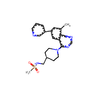 Cc1cc(-c2cccnc2)cc2c(N3CCC(CNS(C)(=O)=O)CC3)ncnc12